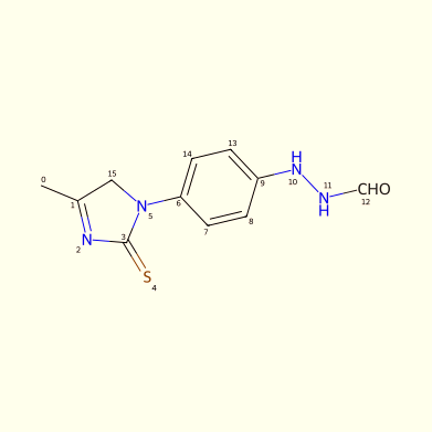 CC1=NC(=S)N(c2ccc(NNC=O)cc2)C1